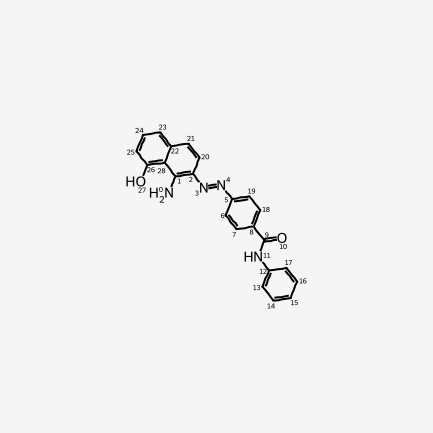 Nc1c(N=Nc2ccc(C(=O)Nc3ccccc3)cc2)ccc2cccc(O)c12